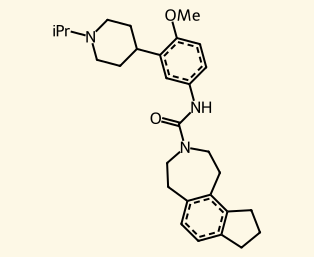 COc1ccc(NC(=O)N2CCc3ccc4c(c3CC2)CCC4)cc1C1CCN(C(C)C)CC1